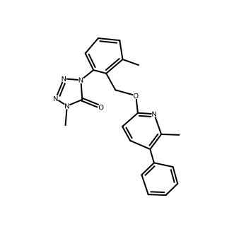 Cc1cccc(-n2nnn(C)c2=O)c1COc1ccc(-c2ccccc2)c(C)n1